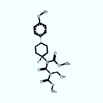 CC(C)Oc1ccc([C@H]2CC[C@@](F)(N(C(=O)OC(C)(C)C)C(=O)N(CO)C(=O)OC(C)(C)C)CC2)cc1